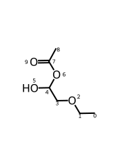 CCOCC(O)OC(C)=O